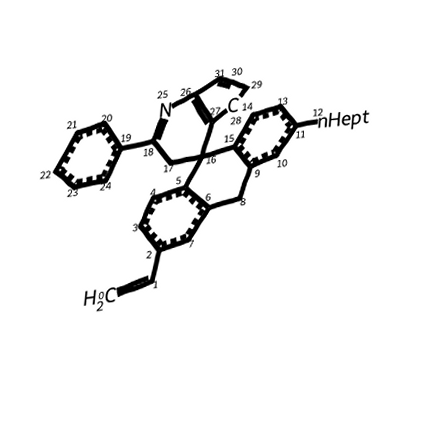 C=Cc1ccc2c(c1)Cc1cc(CCCCCCC)ccc1C21CC(c2ccccc2)=NC2=C1CCC=C2